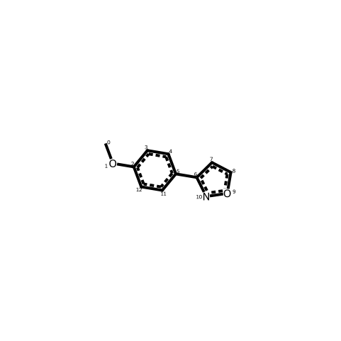 COc1ccc(-c2ccon2)cc1